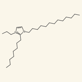 CCCCCCCCCCCCCn1cc[n+](CCC)c1CCCCCCCC